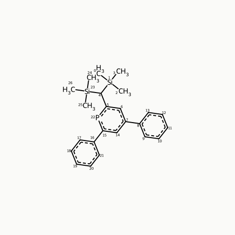 C[Si](C)(C)C(c1cc(-c2ccccc2)cc(-c2ccccc2)p1)[Si](C)(C)C